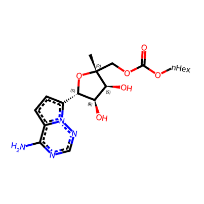 CCCCCCOC(=O)OC[C@@]1(C)O[C@@H](c2ccc3c(N)ncnn23)[C@H](O)[C@@H]1O